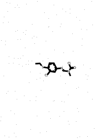 CCSc1ccc(N=CN(C)C(=O)Cl)cc1Cl